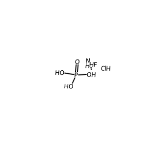 Cl.F.N.O=P(O)(O)O